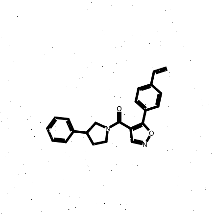 C=Cc1ccc(-c2oncc2C(=O)N2CCC(c3ccccc3)C2)cc1